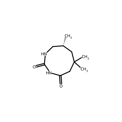 C[C@H]1CNC(=O)NC(=O)CC(C)(C)C1